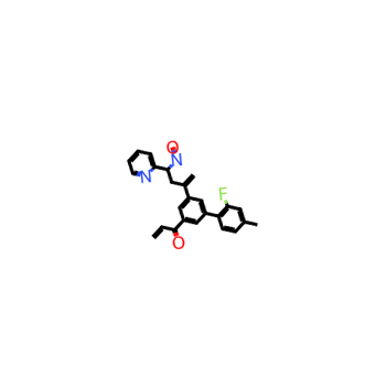 C=CC(=O)c1cc(C(=C)CC(N=O)c2ccccn2)cc(-c2ccc(C)cc2F)c1